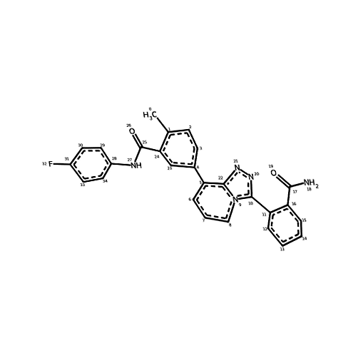 Cc1ccc(-c2cccn3c(-c4ccccc4C(N)=O)nnc23)cc1C(=O)Nc1ccc(F)cc1